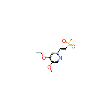 CCOc1cc(C=CS(C)(=O)=O)ncc1OC